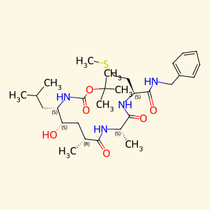 CSCC[C@H](NC(=O)[C@H](C)NC(=O)[C@H](C)C[C@H](O)[C@H](CC(C)C)NC(=O)OC(C)(C)C)C(=O)NCc1ccccc1